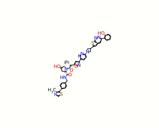 Cc1ncsc1-c1ccc(CNC(=O)[C@@H]2C[C@@H](O)CN2C(=O)[C@@H](c2cc(-c3ccc(N4CC(c5cc6cc(-c7ccccc7O)nnc6s5)C4)nn3)no2)C(C)C)cc1